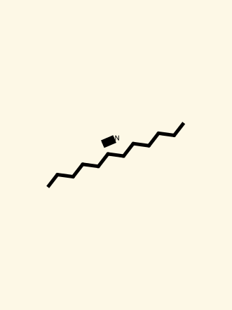 C#N.CCCCCCCCCCCC